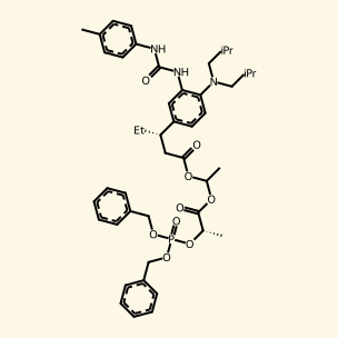 CC[C@@H](CC(=O)OC(C)OC(=O)[C@H](C)OP(=O)(OCc1ccccc1)OCc1ccccc1)c1ccc(N(CC(C)C)CC(C)C)c(NC(=O)Nc2ccc(C)cc2)c1